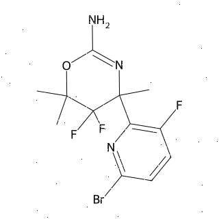 CC1(C)OC(N)=NC(C)(c2nc(Br)ccc2F)C1(F)F